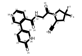 N#CC1CC(F)(F)CN1C(=O)CNC(=O)c1ccncc1-c1ccc(=O)[nH]c1